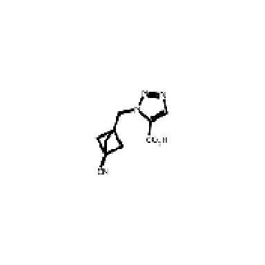 N#CC12CC(Cn3nncc3C(=O)O)(C1)C2